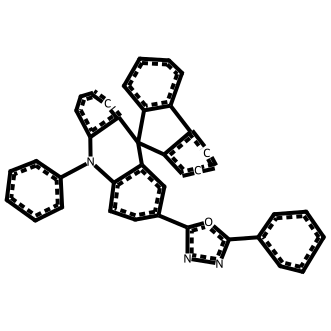 c1ccc(-c2nnc(-c3ccc4c(c3)C3(c5ccccc5-c5ccccc53)c3ccccc3N4c3ccccc3)o2)cc1